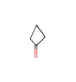 O=C1C[CH]C1